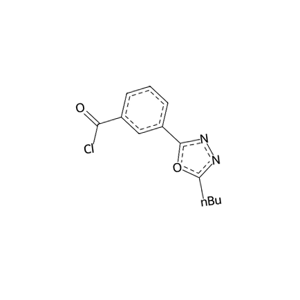 CCCCc1nnc(-c2cccc(C(=O)Cl)c2)o1